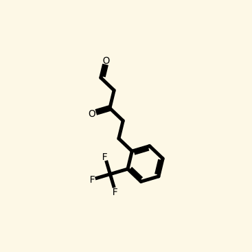 O=CCC(=O)CCc1ccccc1C(F)(F)F